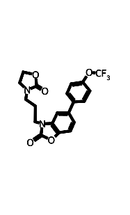 O=C1OCCN1CCCn1c(=O)oc2ccc(-c3ccc(OC(F)(F)F)cc3)cc21